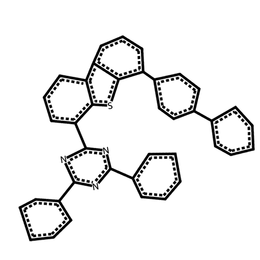 c1ccc(-c2ccc(-c3cccc4c3sc3c(-c5nc(-c6ccccc6)nc(-c6ccccc6)n5)cccc34)cc2)cc1